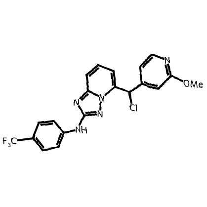 COc1cc(C(Cl)c2cccc3nc(Nc4ccc(C(F)(F)F)cc4)nn23)ccn1